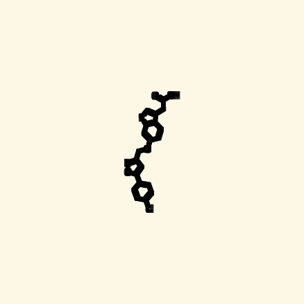 O=C(O)Cc1csc2cc(OCc3cc(-c4ccc(Cl)cc4)on3)ccc12